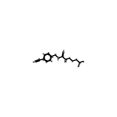 CC(C)CCCNC(=O)OCc1ccc(C#N)cc1